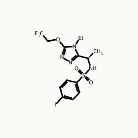 CCn1c(OCC(F)(F)F)nnc1[C@@H](C)NS(=O)(=O)c1ccc(I)cc1